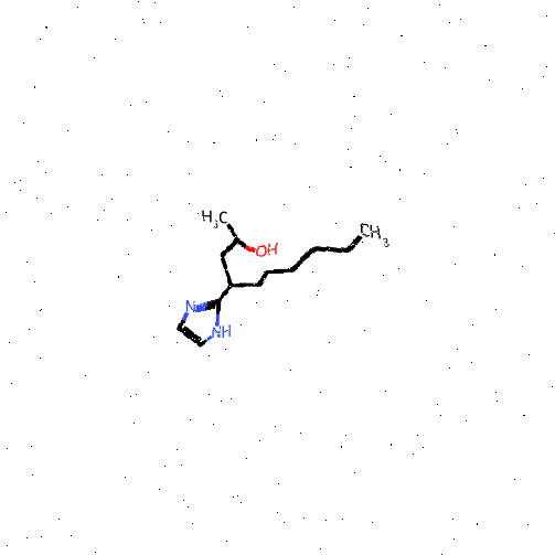 CCCCCCC(CC(C)O)c1ncc[nH]1